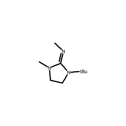 C/N=C1\N(C)CCN1C(C)(C)C